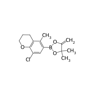 C=C1OB(c2cc(Cl)c3c(c2C)CCCO3)OC1(C)C